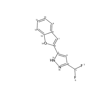 FC(F)c1cc(-c2cc3ccccc3o2)[nH]n1